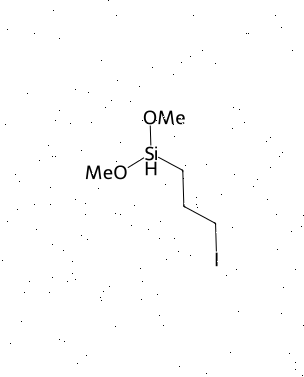 CO[SiH](CCCI)OC